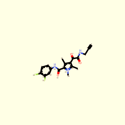 C#CCNC(=O)C(=O)c1c(C)c(C(=O)Nc2ccc(F)c(F)c2)n(C)c1C